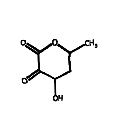 CC1CC(O)C(=O)C(=O)O1